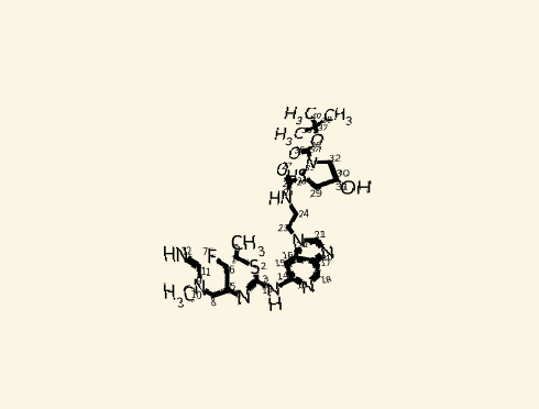 CCSC(=NC(CF)CN(C)C=N)Nc1cc2c(cn1)ncn2CCNC(=O)[SH]1C[C@@H](O)CN1C(=O)OC(C)(C)C